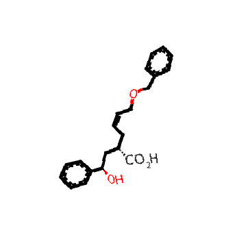 O=C(O)[C@@H](C/C=C\COCc1ccccc1)C[C@@H](O)c1ccccc1